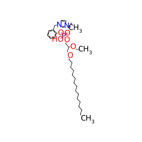 CCCCCCCCCCCCCCCCOCC(COP(=O)(O)Oc1ccccc1Cn1cc[n+](C)c1)OCC